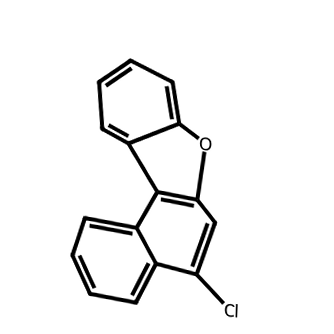 Clc1cc2oc3ccccc3c2c2ccccc12